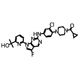 CC(C)(O)c1cccc(-n2cc(F)c3cnc(Nc4ccc(N5CCN(C(=O)C6CC6)CC5)c(Cl)c4)nc32)n1